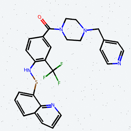 O=C(c1ccc(NSc2cccc3cccnc23)c(C(F)(F)F)c1)N1CCN(Cc2ccncc2)CC1